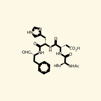 CCCC[C@H](NC(C)=O)C(=O)N[C@@H](CC(=O)O)C(=O)N[C@@H](Cc1c[nH]cn1)C(=O)N[C@@H]([C]=O)Cc1ccccc1